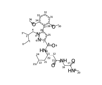 CCC(C)Cn1nc(C(=O)N[C@H](CC(=O)NCC(=O)NC)CC(C)C)cc1-c1c(OC)cccc1OC